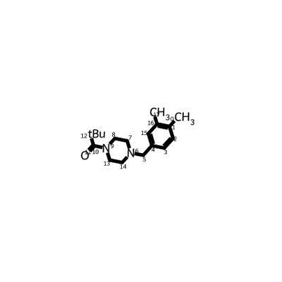 Cc1ccc(CN2CCN(C(=O)C(C)(C)C)CC2)cc1C